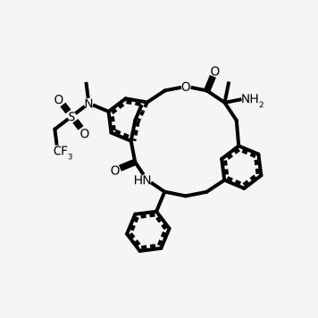 CN(c1cc2cc(c1)C(=O)NC(c1ccccc1)CCc1cccc(c1)CC(C)(N)C(=O)OC2)S(=O)(=O)CC(F)(F)F